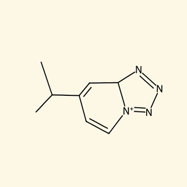 CC(C)C1=CC2N=NN=[N+]2C=C1